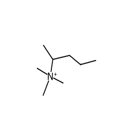 CCCC(C)[N+](C)(C)C